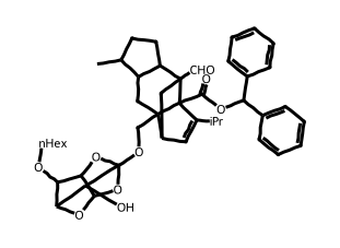 CCCCCCOC1C2OC3(OCC45CC6C(C)CCC6C6(C=O)CC4C=C(C(C)C)C65C(=O)OC(c4ccccc4)c4ccccc4)OC2OC1C3O